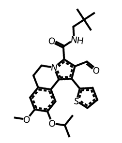 COc1cc2c(cc1OC(C)C)-c1c(-c3cccs3)c(C=O)c(C(=O)NCC(C)(C)C)n1CC2